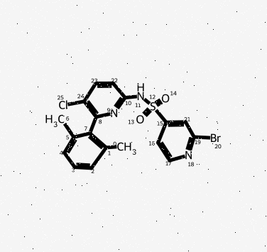 Cc1cccc(C)c1-c1nc(NS(=O)(=O)c2ccnc(Br)c2)ccc1Cl